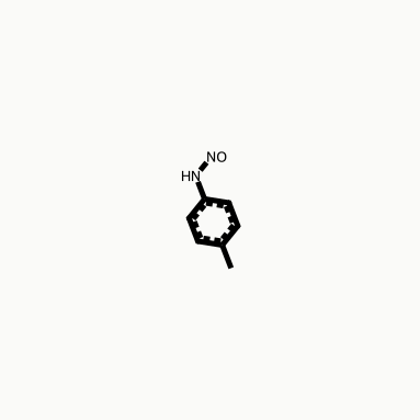 Cc1ccc(NN=O)cc1